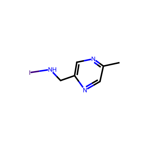 Cc1cnc(CNI)cn1